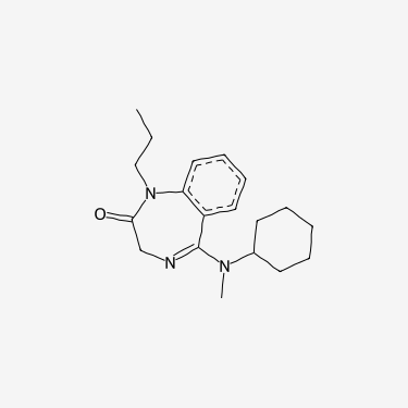 CCCN1C(=O)CN=C(N(C)C2CCCCC2)c2ccccc21